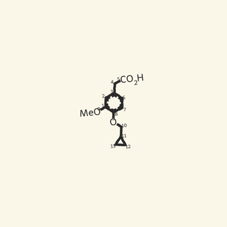 COc1cc(CC(=O)O)ccc1OCC1CC1